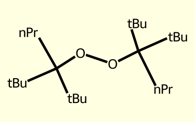 CCCC(OOC(CCC)(C(C)(C)C)C(C)(C)C)(C(C)(C)C)C(C)(C)C